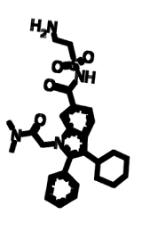 CN(C)C(=O)Cn1c(-c2ccccc2)c(C2CCCCC2)c2ccc(C(=O)NS(=O)(=O)CCN)cc21